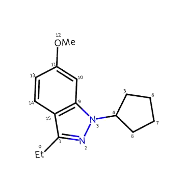 CCc1nn(C2CCCC2)c2cc(OC)ccc12